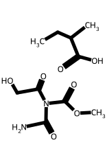 CCC(C)C(=O)O.COC(=O)N(C(N)=O)C(=O)CO